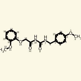 COc1ccc(CNC(=O)NC(=O)COc2ccccc2OC)cc1